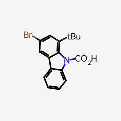 CC(C)(C)c1cc(Br)cc2c3ccccc3n(C(=O)O)c12